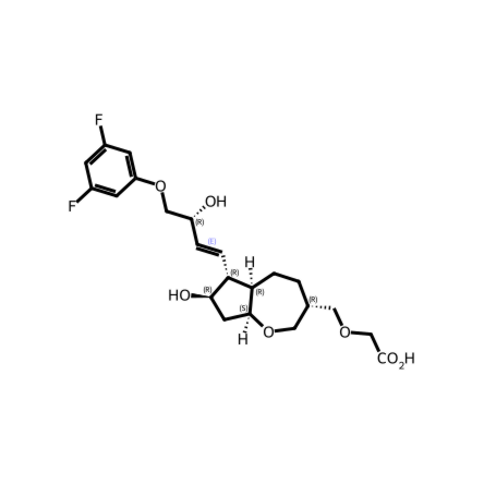 O=C(O)COC[C@H]1CC[C@@H]2[C@@H](/C=C/[C@@H](O)COc3cc(F)cc(F)c3)[C@H](O)C[C@@H]2OC1